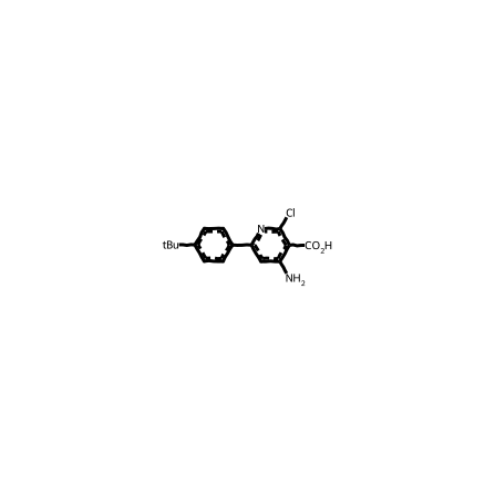 CC(C)(C)c1ccc(-c2cc(N)c(C(=O)O)c(Cl)n2)cc1